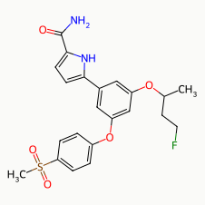 CC(CCF)Oc1cc(Oc2ccc(S(C)(=O)=O)cc2)cc(-c2ccc(C(N)=O)[nH]2)c1